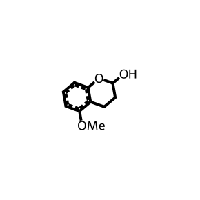 COc1cccc2c1CCC(O)O2